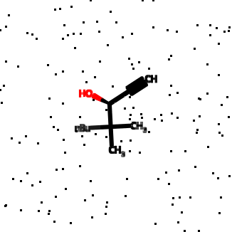 C#C[C@H](O)C(C)(C)CCCC